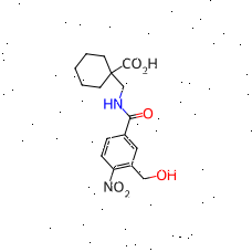 O=C(NCC1(C(=O)O)CCCCC1)c1ccc([N+](=O)[O-])c(CO)c1